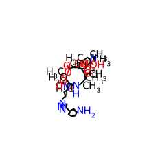 CC[C@H]1OC(=O)[C@H](C)C(O)[C@H](C)[C@@H](O[C@@H]2OC(C)CC(N(C)C)C2O)[C@](C)(OC)C[C@@H](C)CN[C@H](C)[C@H]2N(CCCCn3cc(-c4cccc(N)c4)nn3)C(=O)O[C@]12C